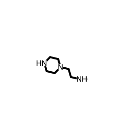 [NH]CCN1CCNCC1